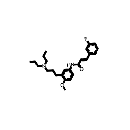 CCCN(CCC)CCCc1cc(NC(=O)C=Cc2cccc(F)c2)ccc1OC